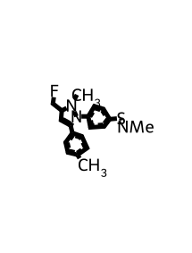 CNSc1ccc(N2C(c3ccc(C)cc3)=CC(CF)N2C)cc1